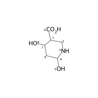 O=C(O)C1CNC(O)CC1O